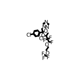 FC(OCCOC(F)(F)F)C(F)(F)C1COC(Cn2cncn2)(c2ccc(Cl)cc2Cl)O1